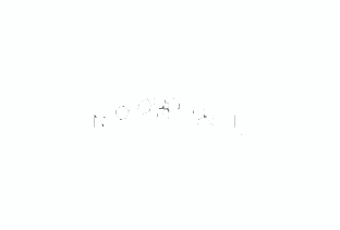 C=CC(=O)OCCCOC(=O)Oc1ccc(-c2ccc(C#N)cc2)cc1